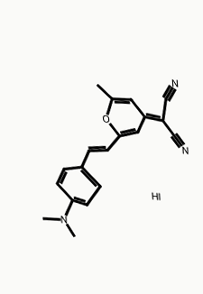 CC1=CC(=C(C#N)C#N)C=C(C=Cc2ccc(N(C)C)cc2)O1.I